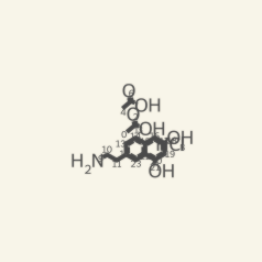 CC(=O)O.CC(=O)O.Cl.NCCc1ccc2cc(O)cc(O)c2c1